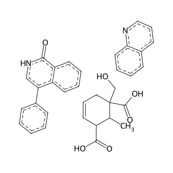 CC1C(C(=O)O)C=CCC1(CO)C(=O)O.O=c1[nH]cc(-c2ccccc2)c2ccccc12.c1ccc2ncccc2c1